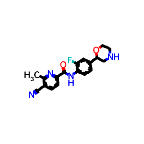 Cc1nc(C(=O)Nc2ccc(C3CNCCO3)cc2F)ccc1C#N